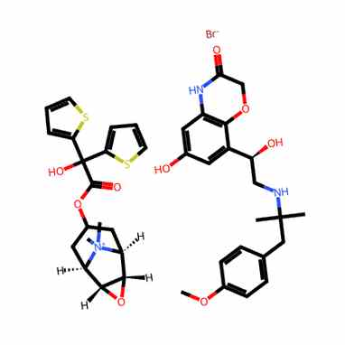 COc1ccc(CC(C)(C)NC[C@H](O)c2cc(O)cc3c2OCC(=O)N3)cc1.C[N+]1(C)[C@@H]2CC(OC(=O)C(O)(c3cccs3)c3cccs3)C[C@H]1[C@@H]1O[C@@H]12.[Br-]